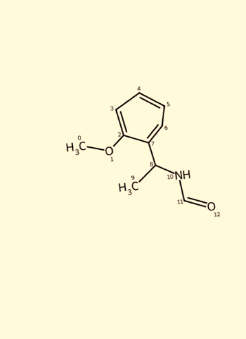 COc1ccccc1C(C)NC=O